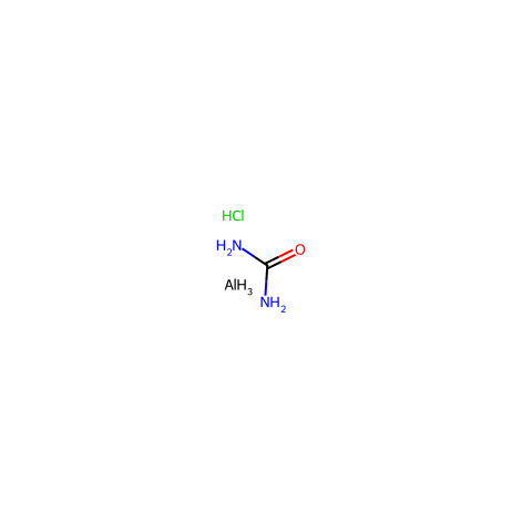 Cl.NC(N)=O.[AlH3]